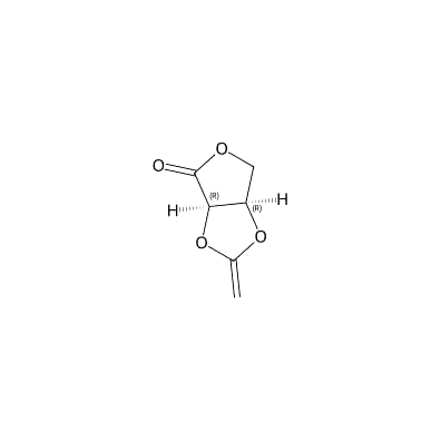 C=C1O[C@@H]2COC(=O)[C@@H]2O1